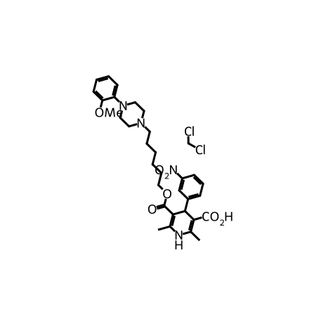 COc1ccccc1N1CCN(CCCCCCOC(=O)C2=C(C)NC(C)=C(C(=O)O)C2c2cccc([N+](=O)[O-])c2)CC1.ClCCl